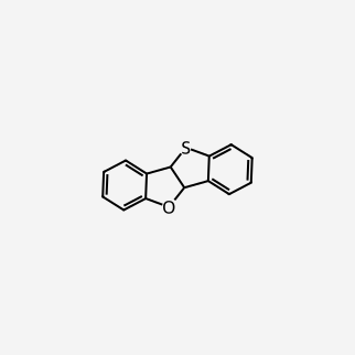 c1ccc2c(c1)OC1c3ccccc3SC21